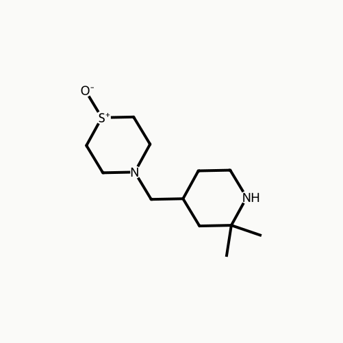 CC1(C)CC(CN2CC[S+]([O-])CC2)CCN1